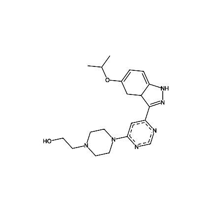 CC(C)OC1=CC=C2NN=C(c3cc(N4CCN(CCO)CC4)ncn3)C2C1